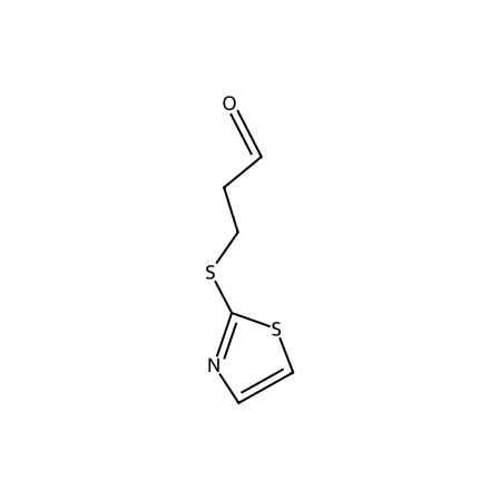 O=CCCSc1nccs1